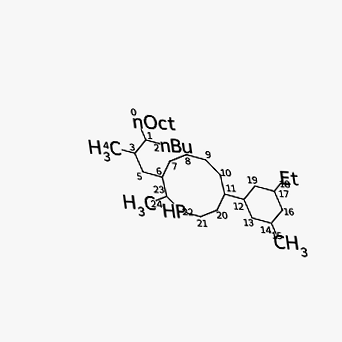 CCCCCCCCC(CCCC)C(C)CC1CCCCC(C2CC(C)CC(CC)C2)CCPC1C